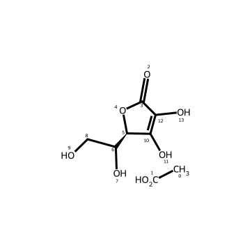 CC(=O)O.O=C1O[C@H](C(O)CO)C(O)=C1O